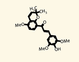 COc1cc(/C=C/C(=O)c2ccc(OC)c3c2OC(C)(C)C=C3)cc(OC)c1O